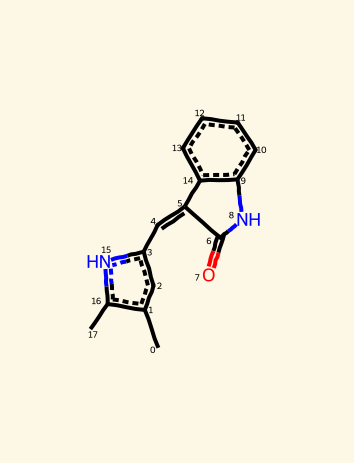 Cc1cc(/C=C2\C(=O)Nc3ccccc32)[nH]c1C